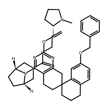 C=CCOC(=O)N1C[C@H]2CC[C@@H](C1)N2c1nc(OC[C@@H]2CCCN2C)nc2c1CCC1(CCCc3ccc(OCc4ccccc4)cc31)C2